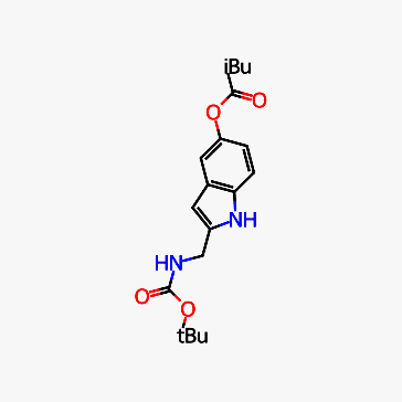 CCC(C)C(=O)Oc1ccc2[nH]c(CNC(=O)OC(C)(C)C)cc2c1